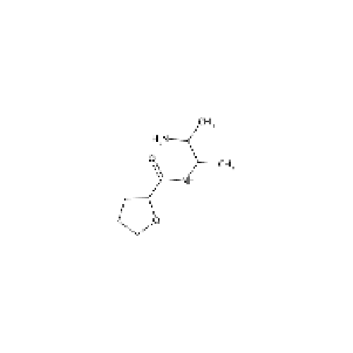 CC(N)C(C)NC(=O)C1CCCO1